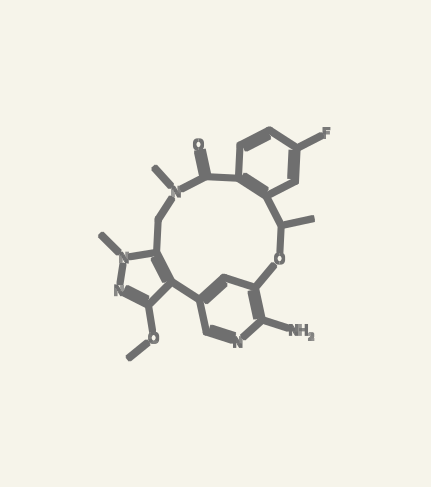 COc1nn(C)c2c1-c1cnc(N)c(c1)OC(C)c1cc(F)ccc1C(=O)N(C)C2